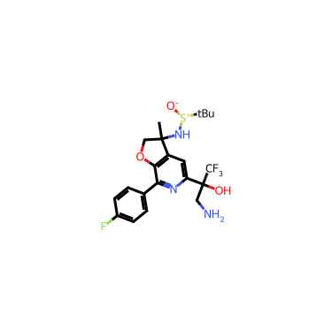 CC1(N[S+]([O-])C(C)(C)C)COc2c1cc(C(O)(CN)C(F)(F)F)nc2-c1ccc(F)cc1